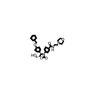 O=C(NCCN1CCOCC1)c1ccc(N2C(=O)O[C@H](CO)[C@H]2c2ccc(OCc3ccccc3)cc2)cc1